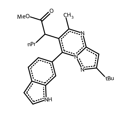 CCCC(C(=O)OC)c1c(C)nc2cc(C(C)(C)C)nn2c1-c1ccc2cc[nH]c2c1